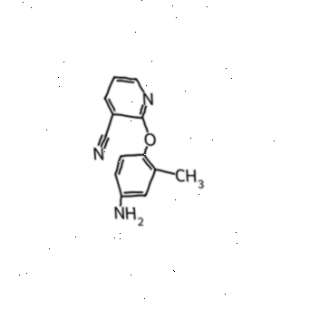 Cc1cc(N)ccc1Oc1ncccc1C#N